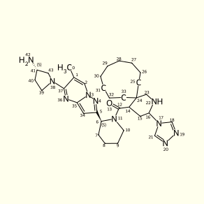 Cc1cn2nc([C@@H]3CCCCN3C(=O)C3CC(n4cnnc4)NCC34CCCCCCCCC4)cc2nc1N1CC[C@H](N)C1